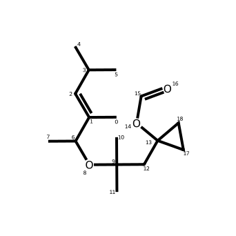 C/C(=C\C(C)C)C(C)OC(C)(C)CC1(OC=O)CC1